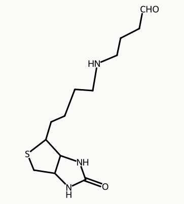 O=CCCCNCCCCC1SCC2NC(=O)NC21